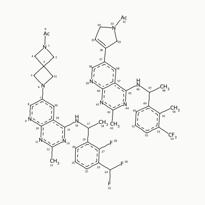 CC(=O)N1CC2(C1)CN(c1cnc3nc(C)nc(NC(C)c4cccc(C(F)F)c4F)c3c1)C2.CC(=O)N1CC=C(c2cnc3nc(C)nc(NC(C)c4cccc(C(F)(F)F)c4C)c3c2)C1